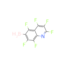 Bc1c(F)c(F)c2nc(F)c(F)c(F)c2c1F